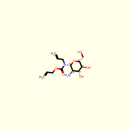 C=CCOC(=O)N(CC=C)[C@@H]1O[C@H](CO)[C@@H](O)[C@H](O)[C@H]1N